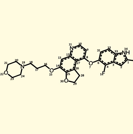 Cc1cc2c(F)c(Oc3ccnc4cc(OCCCN5CCOCC5)c5c(c34)CCO5)ccc2[nH]1